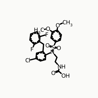 COc1ccc(S(=O)(=O)N(CCNC(=O)O)c2ccc(Cl)cc2Cc2c(F)cccc2F)cc1OC